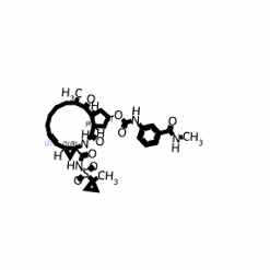 CNC(=O)c1cccc(NC(=O)O[C@@H]2C[C@H]3C(=O)N[C@]4(C(=O)NS(=O)(=O)C5(C)CC5)C[C@H]4/C=C\CCCCC(C)C(=O)[C@@H]3C2)c1